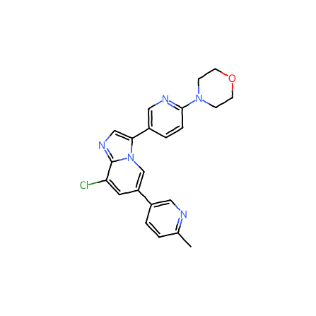 Cc1ccc(-c2cc(Cl)c3ncc(-c4ccc(N5CCOCC5)nc4)n3c2)cn1